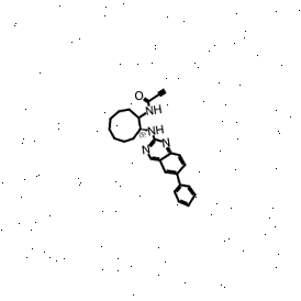 C#CC(=O)NC1CCCCCCC[C@@H]1Nc1ncc2cc(-c3ccccc3)ccc2n1